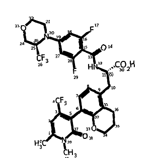 Cc1cc(C(F)(F)F)c(-c2ccc(C[C@H](NC(=O)c3c(F)cc(N4CCOC[C@@H]4C(F)(F)F)cc3F)C(=O)O)c3c2OCCC3)c(=O)n1C